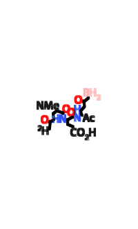 [2H]CC(=O)CCC(NC)C(=O)NC(CCC(=O)O)C(=O)NC(CCC(=O)CB)C(C)=O